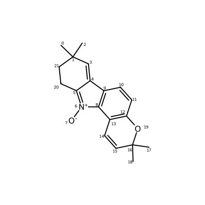 CC1(C)C=C2C(=[N+]([O-])c3c2ccc2c3C=CC(C)(C)O2)CC1